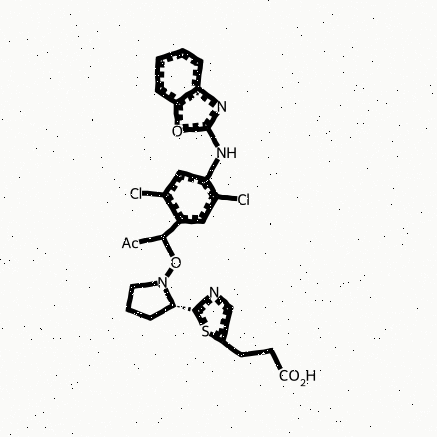 CC(=O)C(ON1CCC[C@H]1c1ncc(CCC(=O)O)s1)c1cc(Cl)c(Nc2nc3ccccc3o2)cc1Cl